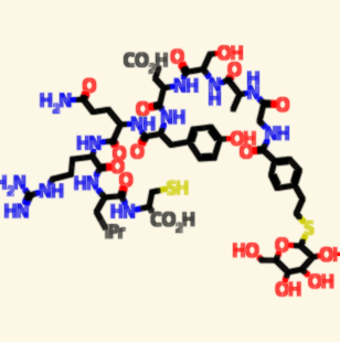 CC(C)CC(NC(=O)C(CCCNC(=N)N)NC(=O)C(CCC(N)=O)NC(=O)C(Cc1ccc(O)cc1)NC(=O)C(CC(=O)O)NC(=O)C(CO)NC(=O)C(C)NC(=O)CNC(=O)c1ccc(CCSC2OC(CO)C(O)C(O)C2O)cc1)C(=O)NC(CS)C(=O)O